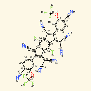 N#CC(C#N)=C1C(c2ccc(C#N)c(OC(F)(F)F)c2)=C(C#N)c2c(F)c3c(c(F)c21)C(=C(C#N)C#N)C(c1ccc(C#N)c(OC(F)(F)F)c1)=C3C#N